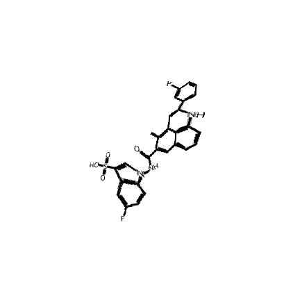 Cc1c(C(=O)Nn2cc(S(=O)(=O)O)c3cc(F)ccc32)cc2cccc3c2c1C=C(c1cccc(F)c1)N3